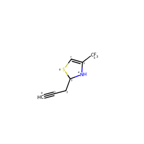 C#CCC1NC(C(F)(F)F)=[C]S1